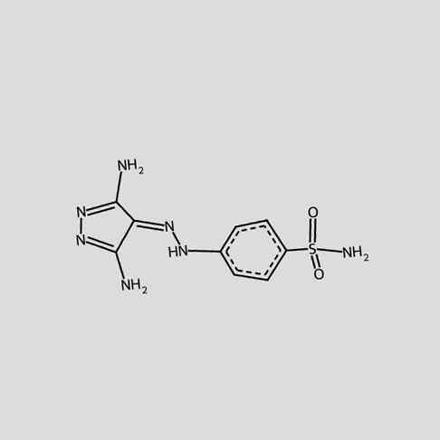 NC1=NN=C(N)C1=NNc1ccc(S(N)(=O)=O)cc1